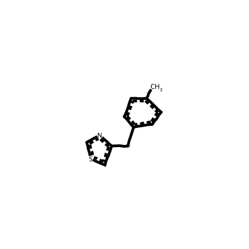 Cc1ccc([CH]c2cscn2)cc1